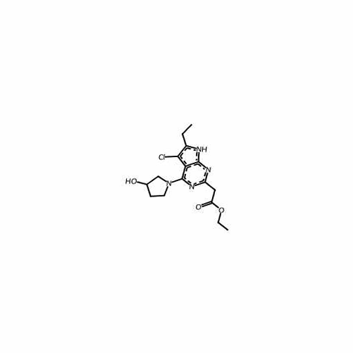 CCOC(=O)Cc1nc(N2CCC(O)C2)c2c(Cl)c(CC)[nH]c2n1